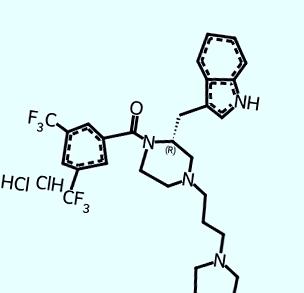 Cl.Cl.O=C(c1cc(C(F)(F)F)cc(C(F)(F)F)c1)N1CCN(CCCN2CCSCC2)C[C@H]1Cc1c[nH]c2ccccc12